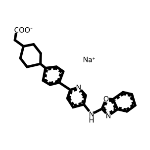 O=C([O-])CC1CCC(c2ccc(-c3ccc(Nc4nc5ccccc5o4)cn3)cc2)CC1.[Na+]